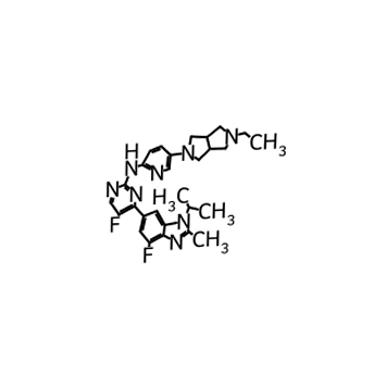 CCN1CC2CN(c3ccc(Nc4ncc(F)c(-c5cc(F)c6nc(C)n(C(C)C)c6c5)n4)nc3)CC2C1